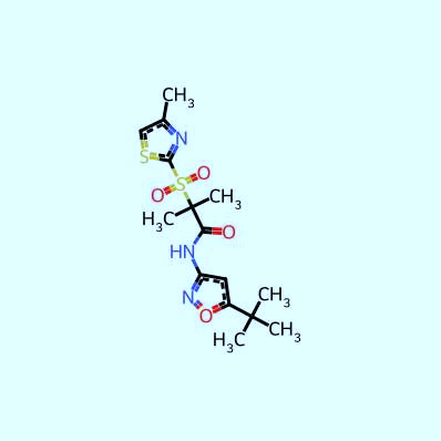 Cc1csc(S(=O)(=O)C(C)(C)C(=O)Nc2cc(C(C)(C)C)on2)n1